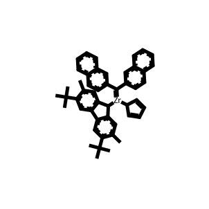 Cc1cc2c(cc1C(C)(C)C)-c1cc(C(C)(C)C)c(C)cc1[CH]2[Zr](=[C](c1ccc2ccccc2c1)c1ccc2ccccc2c1)[CH]1C=CC=C1